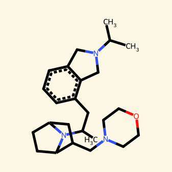 CC(C)N1Cc2cccc(CC(C)N3C4CCC3C(CN3CCOCC3)C4)c2C1